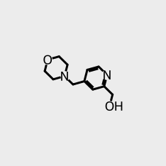 OCc1cc(CN2CCOCC2)ccn1